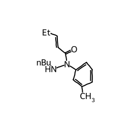 CCC=CC(=O)N(NCCCC)c1cccc(C)c1